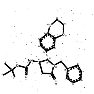 CC(C)(C)OC(=O)N[C@@H]1CC(=O)N(Cc2ccccc2)[C@H]1c1ccc2c(c1)OCCO2